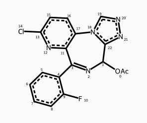 CC(=O)OC1N=C(c2ccccc2F)c2nc(Cl)ccc2-n2cnnc21